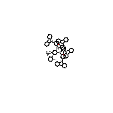 N#Cc1cc(-n2c3cc(-n4c5ccccc5c5ccccc54)ccc3c3ccc(-n4c5ccccc5c5ccccc54)cc32)c(-n2c3cc(-n4c5ccccc5c5ccccc54)ccc3c3ccc(-n4c5ccccc5c5ccccc54)cc32)cc1-c1c(F)cccc1F